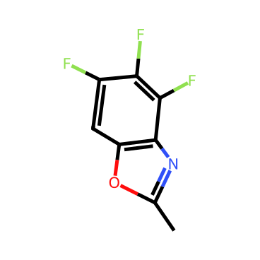 Cc1nc2c(F)c(F)c(F)cc2o1